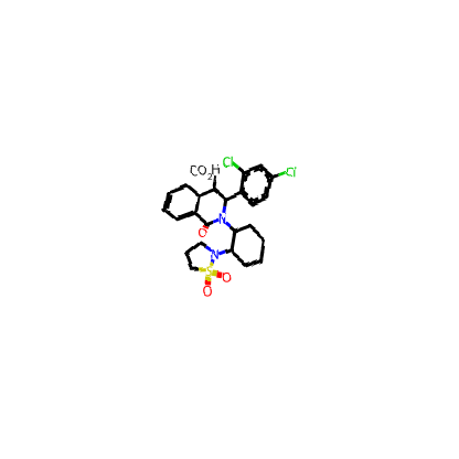 O=C(O)C1C2CC=CC=C2C(=O)N(C2CCCCC2N2CCCS2(=O)=O)C1c1ccc(Cl)cc1Cl